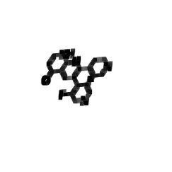 O=c1cc[nH]c2nc(-c3ccncc3)c(-c3c(F)cncc3F)cc12